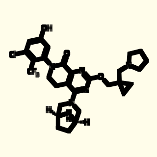 O=C1c2nc(OCC3(CN4CCCC4)CC3)nc(N3C[C@H]4CC[C@@H](C3)N4)c2CCN1c1cc(O)cc(Cl)c1C(F)(F)F